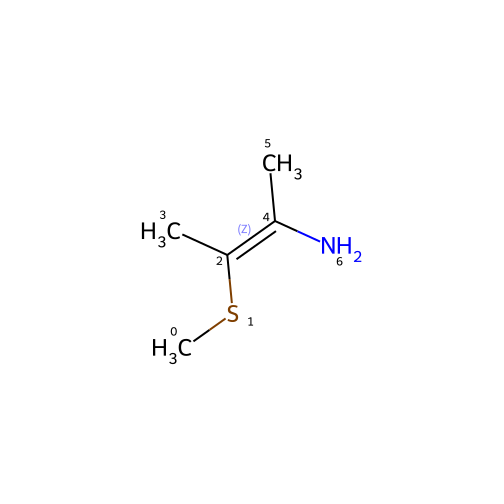 CS/C(C)=C(/C)N